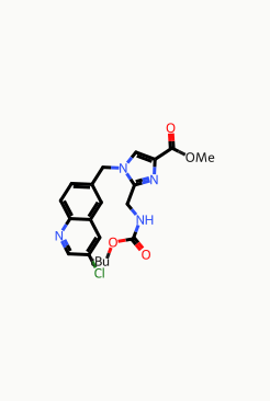 COC(=O)c1cn(Cc2ccc3ncc(Cl)cc3c2)c(CNC(=O)OC(C)(C)C)n1